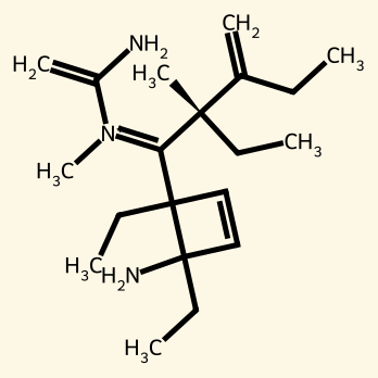 C=C(N)/[N+](C)=C(/C1(CC)C=CC1(N)CC)[C@@](C)(CC)C(=C)CC